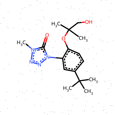 Cn1nnn(-c2cc(C(C)(C)C)ccc2OC(C)(C)CO)c1=O